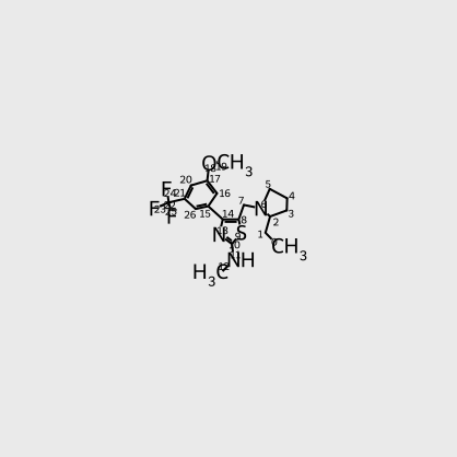 CCC1CCCN1Cc1sc(NC)nc1-c1cc(OC)cc(C(F)(F)F)c1